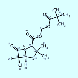 CC(C)(C)C(=O)OCOC(=O)[C@@H]1N2C(=O)[C@@](Cl)(I)[C@H]2SC1(C)C